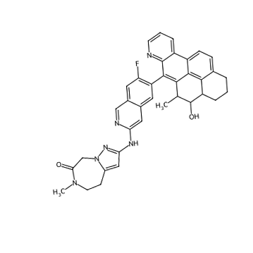 CC1c2c(-c3cc4cc(Nc5cc6n(n5)CC(=O)N(C)CC6)ncc4cc3F)c3ncccc3c3ccc4c(c23)C(CCC4)C1O